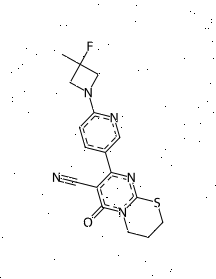 CC1(F)CN(c2ccc(-c3nc4n(c(=O)c3C#N)CCCS4)cn2)C1